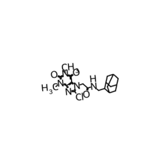 Cn1c(=O)c2c(nc(Cl)n2CC(=O)NCC2C3CC4CC(C3)CC2C4)n(C)c1=O